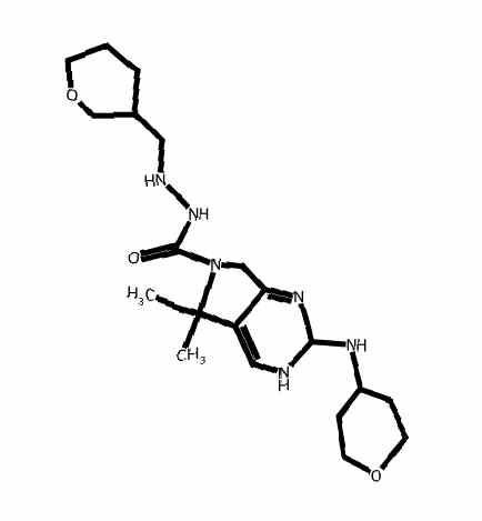 CC1(C)C2=CNC(NC3CCOCC3)N=C2CN1C(=O)NNCC1CCCOC1